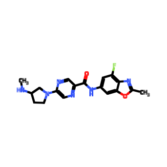 CNC1CCN(c2cnc(C(=O)Nc3cc(F)c4nc(C)oc4c3)cn2)C1